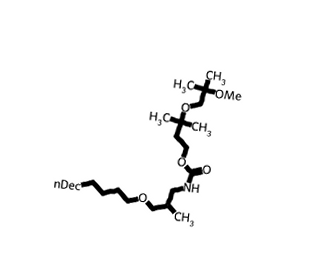 CCCCCCCCCCCCCCOCC(C)CNC(=O)OCCC(C)(C)OCC(C)(C)OC